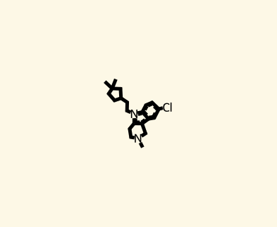 CN1CCc2c(c3cc(Cl)ccc3n2CCC2CCC(C)(C)C2)C1